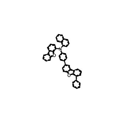 c1ccc(-c2cccc3c2oc2ccc(-c4ccc(N(c5cccc6ccccc56)c5cccc6c5oc5ccccc56)cc4)cc23)cc1